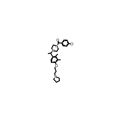 Cc1c(OCCCN2CCCC2)ccc(C(C)N2CCN(C(=O)c3ccc(Cl)cc3)CC2)c1C